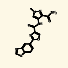 Cn1cc(NC(=O)c2coc(-c3ccc4ocnc4c3)n2)c(C(N)=O)n1